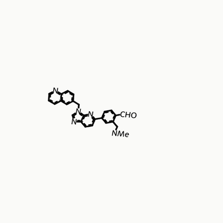 CNCc1cc(-c2ccc3ncn(Cc4ccc5ncccc5c4)c3n2)ccc1C=O